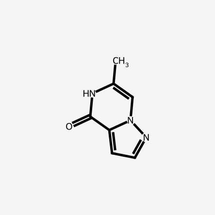 Cc1cn2nccc2c(=O)[nH]1